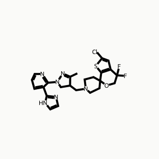 CC1=NN(c2ncccc2-c2ncc[nH]2)CC1CN1CCC2(CC1)OCC(F)(F)c1cc(Cl)sc12